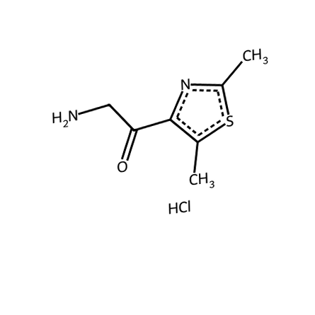 Cc1nc(C(=O)CN)c(C)s1.Cl